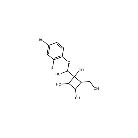 OCC1C(O)C(O)C1(O)C(O)Oc1ccc(Br)cc1F